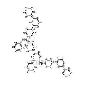 c1ccc(-c2cccc(-c3ccc(Nc4ccc(-c5ccc(Nc6ccc(-c7cccc(-c8ccccc8)c7)cc6)c(-c6ccccc6)c5)cc4-c4ccccc4)cc3)c2)cc1